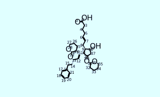 O=C(O)CCCC=CC[C@@H]1[C@@H](/C=C/[C@H](CCc2ccccc2)OC2CCCCO2)[C@H](OC2CCCCO2)C[C@@H]1O